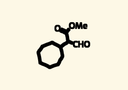 COC(=O)C(C=O)C1CCCCCCC1